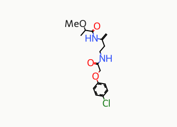 C=C(CCNC(=O)COc1ccc(Cl)cc1)NC(=O)C(C)OC